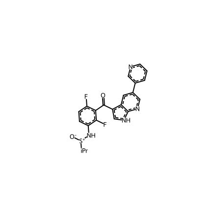 CC(C)[S+]([O-])Nc1ccc(F)c(C(=O)c2c[nH]c3ncc(-c4cccnc4)cc23)c1F